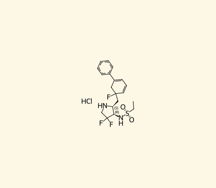 CCS(=O)(=O)N[C@@H]1[C@H](CC2(F)C=CC=C(c3ccccc3)C2)NCC1(F)F.Cl